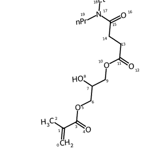 C=C(C)C(=O)OCC(O)COC(=O)CCC(=O)N(CC)CCC